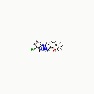 CC(C)(C#N)C1C=CC2=CN(c3cccc(Br)c3C=O)NC=C2C1=O